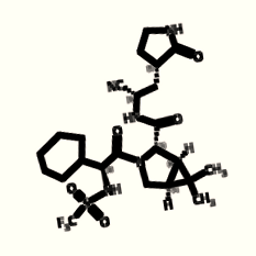 CC1(C)[C@@H]2[C@@H](C(=O)N[C@H](C#N)C[C@@H]3CCNC3=O)N(C(=O)[C@@H](NS(=O)(=O)C(F)(F)F)C3CCCCC3)C[C@@H]21